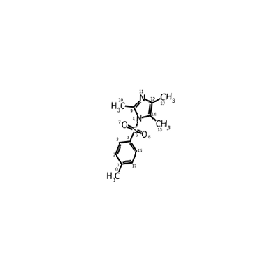 Cc1ccc(S(=O)(=O)n2c(C)nc(C)c2C)cc1